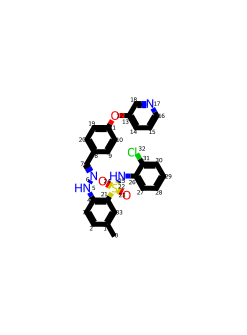 Cc1ccc(N/N=C/c2ccc(Oc3cccnc3)cc2)c(S(=O)(=O)Nc2ccccc2Cl)c1